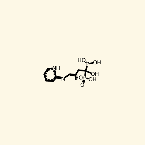 C/C(=C\N=c1\cccc[nH]1)CC(O)(P(O)O)P(=O)(O)O